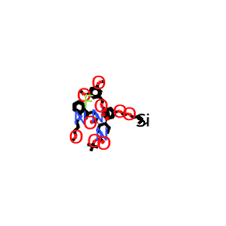 COCCCn1cc(CN(C(=O)[C@H]2CN(C(=O)OC(C)(C)C)CC[C@@H]2c2cc(OCOCC[Si](C)(C)C)cc(OCc3cc(OC)cc(OC)c3)c2)C2CC2)c2c(F)cccc21